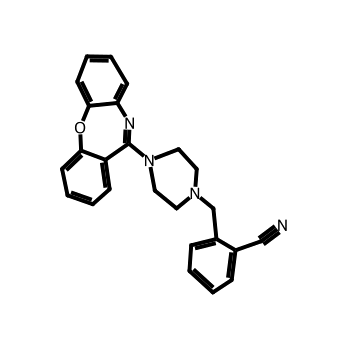 N#Cc1ccccc1CN1CCN(C2=Nc3ccccc3Oc3ccccc32)CC1